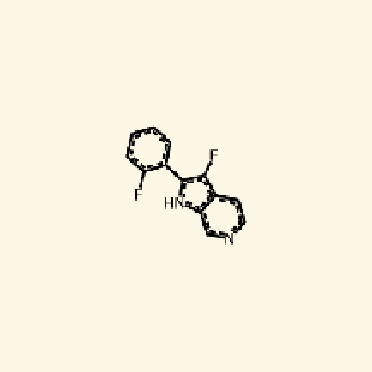 Fc1ccccc1-c1[nH]c2cnccc2c1F